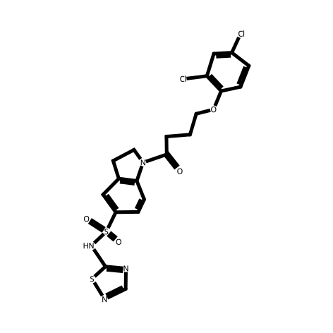 O=C(CCCOc1ccc(Cl)cc1Cl)N1CCc2cc(S(=O)(=O)Nc3ncns3)ccc21